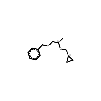 C[C@H](COCc1ccccc1)OC[C@H]1CO1